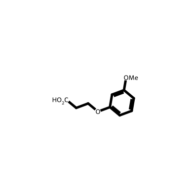 COc1cccc(OCCC(=O)O)c1